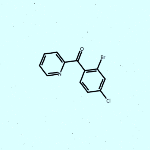 O=C(c1ccccn1)c1ccc(Cl)cc1Br